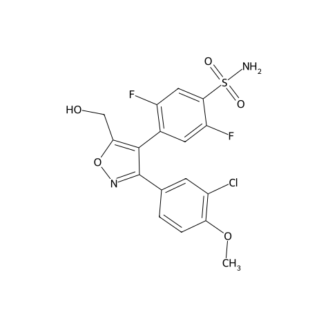 COc1ccc(-c2noc(CO)c2-c2cc(F)c(S(N)(=O)=O)cc2F)cc1Cl